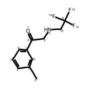 Cc1cccc(C(=O)CNCC(F)(F)F)c1